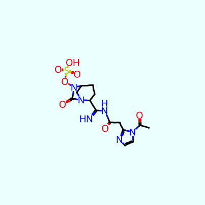 CC(=O)n1ccnc1CC(=O)NC(=N)C1CCC2CN1C(=O)N2OS(=O)(=O)O